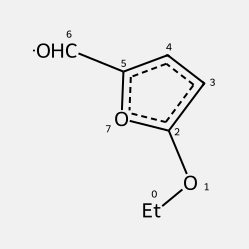 CCOc1ccc([C]=O)o1